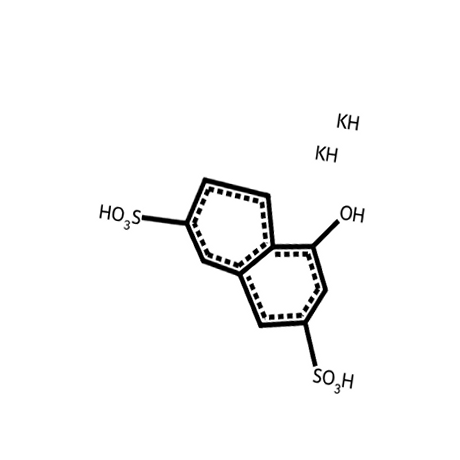 O=S(=O)(O)c1ccc2c(O)cc(S(=O)(=O)O)cc2c1.[KH].[KH]